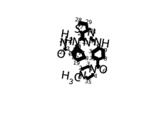 CN1CCN(C(=O)c2ccc(Nc3nc(N[C@@H]4C5C=CC(C5)[C@@H]4C(N)=O)c4sccc4n3)cc2)CC1